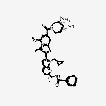 COc1cc(C(=O)N2CC[C@@H](O)[C@@H](N)C2)cc2nc(-c3cc4ccc([C@@H](C)NC(=O)c5ccccc5)nc4n3CC3CC3)c(C)n12